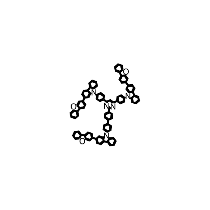 c1ccc2c(c1)oc1cc(-c3ccc4c5ccccc5n(-c5ccc(-c6ccc(-c7nc(-c8ccc(-n9c%10ccccc%10c%10ccc(-c%11ccc%12c(c%11)oc%11ccccc%11%12)cc%109)cc8)cc(-c8ccc(-n9c%10ccccc%10c%10ccc(-c%11ccc%12c(c%11)oc%11ccccc%11%12)cc%109)cc8)n7)cc6)cc5)c4c3)ccc12